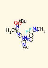 CC(=O)N1CCc2c(c(N3CCCc4cc(-c5cnn(C)c5)c(C(F)F)cc43)nn2C2CCN(C[C@@H]3CCN(C(=O)OC(C)(C)C)C[C@@H]3C)CC2)C1